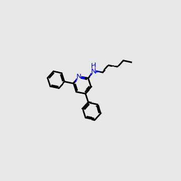 CCCCCNc1cc(-c2ccccc2)cc(-c2ccccc2)n1